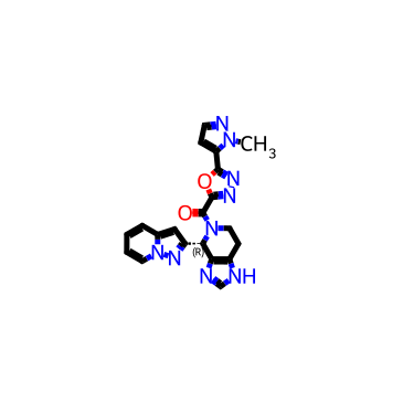 Cn1nccc1-c1nnc(C(=O)N2CCc3[nH]cnc3[C@@H]2c2cc3ccccn3n2)o1